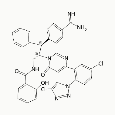 N=C(N)c1ccc([C@H](c2ccccc2)[C@@H](CNC(=O)c2ccccc2O)n2cnc(-c3cc(Cl)ccc3-n3cc(Cl)nn3)cc2=O)cc1